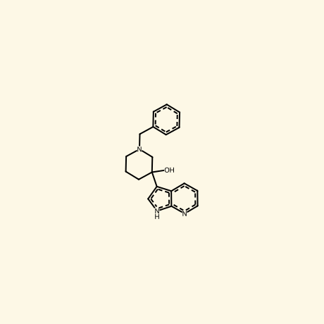 OC1(c2c[nH]c3ncccc23)CCCN(Cc2ccccc2)C1